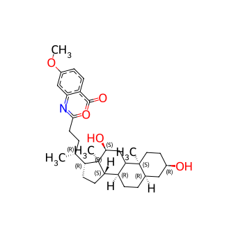 COc1ccc2c(=O)oc(CC[C@@H](C)[C@H]3CC[C@H]4[C@@H]5CC[C@@H]6C[C@H](O)CC[C@]6(C)C5C[C@H](O)[C@]34C)nc2c1